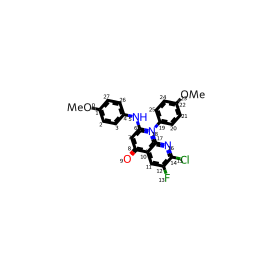 COc1ccc(Nc2cc(=O)c3cc(F)c(Cl)nc3n2-c2ccc(OC)cc2)cc1